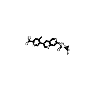 CCC(=O)c1cc(C)c(-c2cnc3cc(NC(=O)[C@@H]4C[C@@H]4F)ncc3c2)cn1